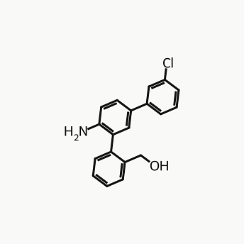 Nc1ccc(-c2cccc(Cl)c2)cc1-c1ccccc1CO